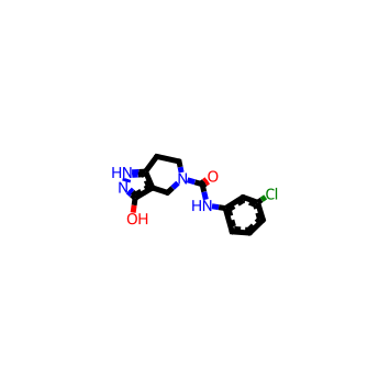 O=C(Nc1cccc(Cl)c1)N1CCc2[nH]nc(O)c2C1